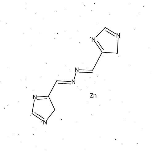 C1=NCC(/C=N/N=C/C2=NC=NC2)=N1.[Zn]